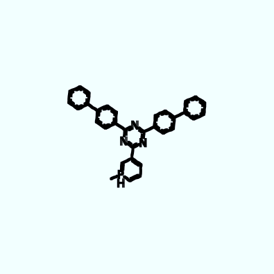 C[PH]1=CC(c2nc(-c3ccc(-c4ccccc4)cc3)nc(-c3ccc(-c4ccccc4)cc3)n2)=CC=C1